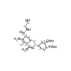 COc1ccc(CCc2cc(C(=O)NCCO)c(N)c(C)c2C(N)=O)cc1OC